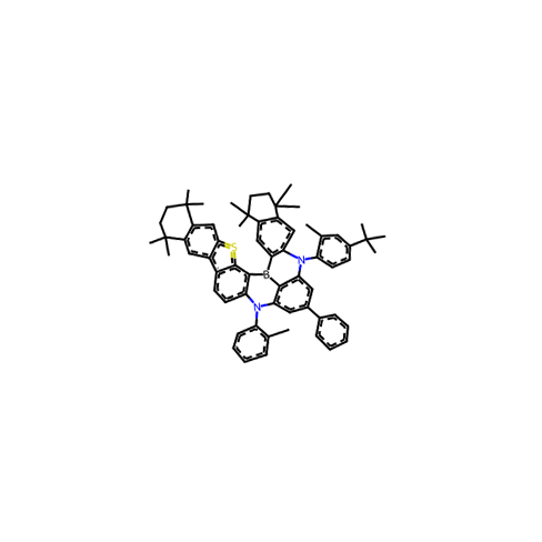 Cc1cc(C(C)(C)C)ccc1N1c2cc3c(cc2B2c4c1cc(-c1ccccc1)cc4N(c1ccccc1C)c1ccc4c(sc5cc6c(cc54)C(C)(C)CCC6(C)C)c12)C(C)(C)CCC3(C)C